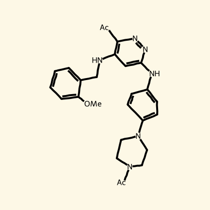 COc1ccccc1CNc1cc(Nc2ccc(N3CCN(C(C)=O)CC3)cc2)nnc1C(C)=O